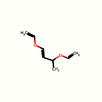 C=COC=CC(C)OC=C